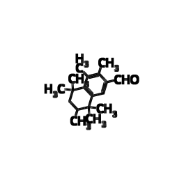 Cc1c(C=O)cc2c(c1C)C(C)(C)CC(C)C2(C)C